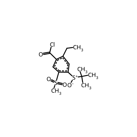 CCc1cc([S+]([O-])C(C)(C)C)c(S(C)(=O)=O)cc1C(=O)Cl